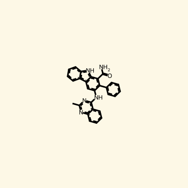 Cc1nc(Nc2cc3c([nH]c4ccccc43)c(C(N)=O)c2-c2ccccc2)c2ccccc2n1